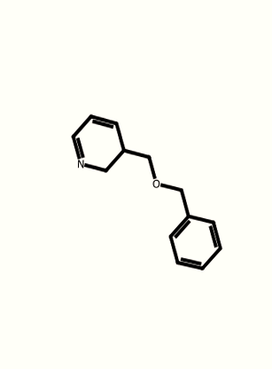 C1=CC(COCc2ccccc2)CN=C1